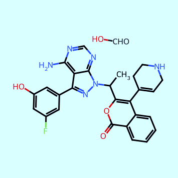 CC(c1oc(=O)c2ccccc2c1C1=CCNCC1)n1nc(-c2cc(O)cc(F)c2)c2c(N)ncnc21.O=CO